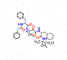 CC(NC(=O)C(Cc1ccccc1)NC(=O)Cc1ccccc1)C(=O)C(=O)NC(CC1CCCCC1)C(=O)NC(C)(C)C(=O)O